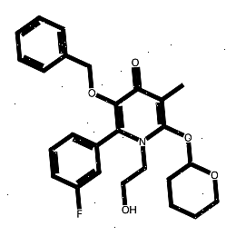 Cc1c(OC2CCCCO2)n(CCO)c(-c2cccc(F)c2)c(OCc2ccccc2)c1=O